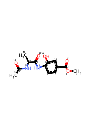 COC(=O)c1ccc(NC(=O)C(C)NC(C)=O)c(O)c1